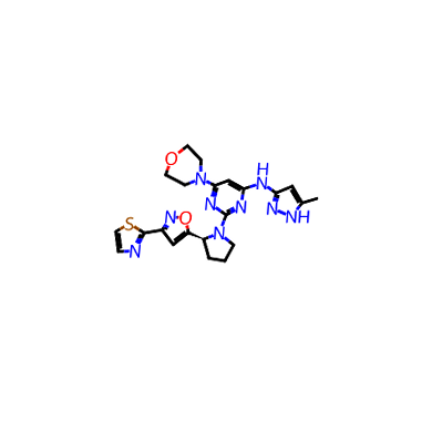 Cc1cc(Nc2cc(N3CCOCC3)nc(N3CCC[C@H]3c3cc(-c4nccs4)no3)n2)n[nH]1